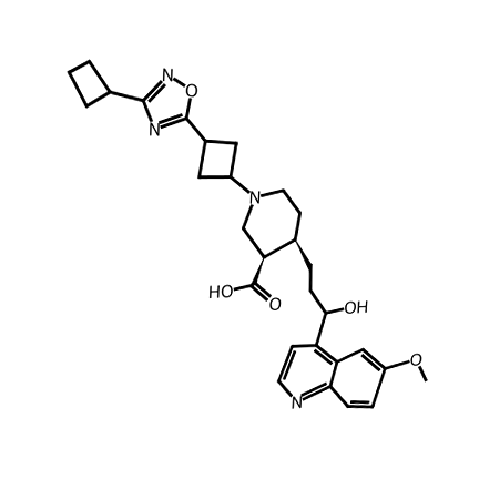 COc1ccc2nccc(C(O)CC[C@@H]3CCN(C4CC(c5nc(C6CCC6)no5)C4)C[C@@H]3C(=O)O)c2c1